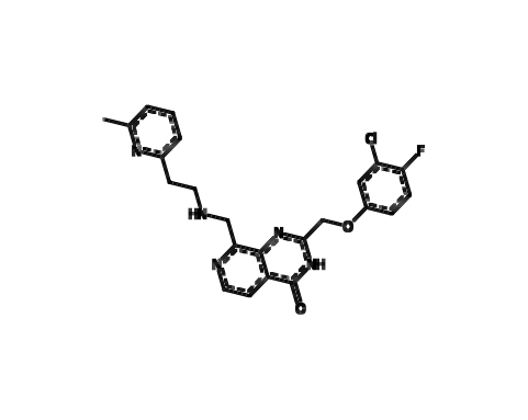 Cc1cccc(CCNCc2nccc3c(=O)[nH]c(COc4ccc(F)c(Cl)c4)nc23)n1